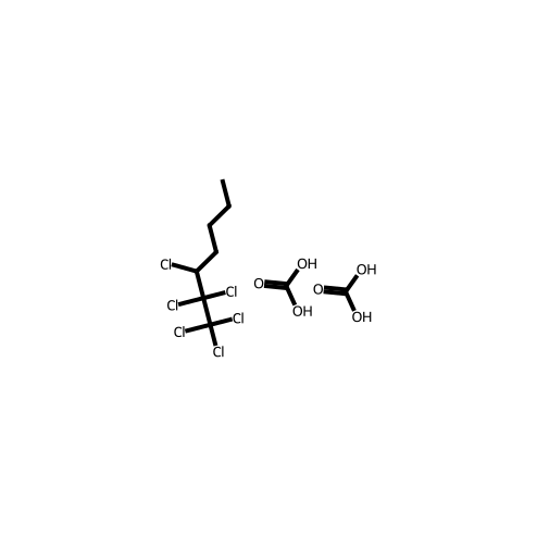 CCCCC(Cl)C(Cl)(Cl)C(Cl)(Cl)Cl.O=C(O)O.O=C(O)O